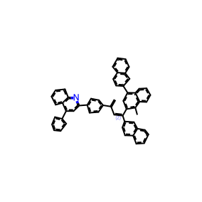 C=C(/C=C(/c1ccc2ccccc2c1)c1cc(-c2ccc3ccccc3c2)c2ccccc2c1C)c1ccc(-c2cc(-c3ccccc3)c3ccccc3n2)cc1